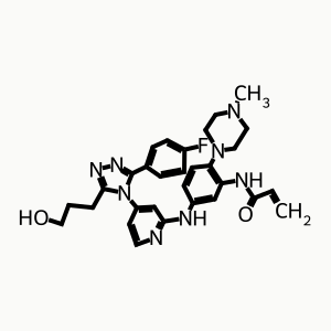 C=CC(=O)Nc1cc(Nc2cc(-n3c(CCCO)nnc3-c3ccc(F)cc3)ccn2)ccc1N1CCN(C)CC1